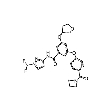 O=C(Nc1ccn(C(F)F)n1)c1cc(Oc2ccc(C(=O)N3CCC3)nc2)cc(O[C@H]2CCOC2)c1